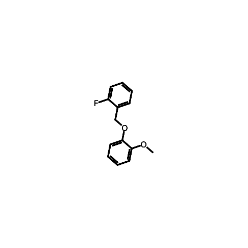 COc1ccccc1OCc1ccccc1F